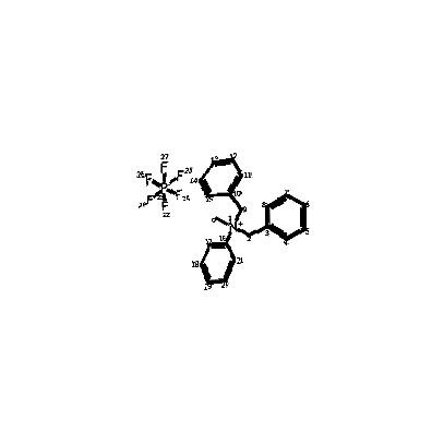 C[N+](Cc1ccccc1)(Cc1ccccc1)c1ccccc1.F[P-](F)(F)(F)(F)F